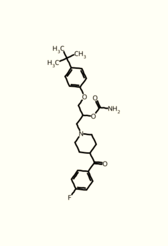 CC(C)(C)c1ccc(OCC(CN2CCC(C(=O)c3ccc(F)cc3)CC2)OC(N)=O)cc1